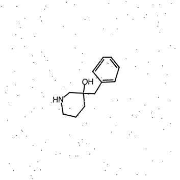 OC1(Cc2ccccc2)CCCNC1